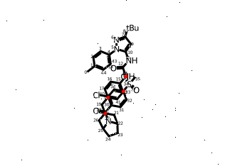 Cc1ccc(-n2nc(C(C)(C)C)cc2NC(=O)Nc2ccc(CC3CC4CCC(C3)N4C(=O)c3ccc(S(C)(=O)=O)cc3Cl)cc2)cc1